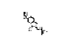 CCOc1ccc2c(c1)C(=O)C(=CNC(C)C)S2